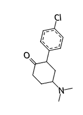 CN(C)C1CCC(=O)C(c2ccc(Cl)cc2)C1